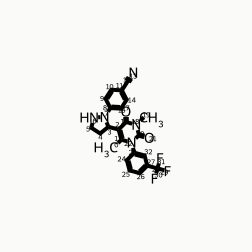 Cc1c(C2CCNN2c2ccc(C#N)cc2)c(=O)n(C)c(=O)n1-c1cccc(C(F)(F)F)c1